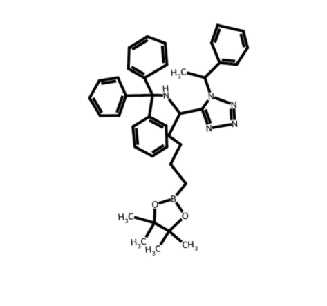 CC(c1ccccc1)n1nnnc1C(CCCCB1OC(C)(C)C(C)(C)O1)NC(c1ccccc1)(c1ccccc1)c1ccccc1